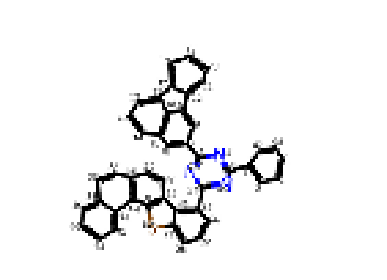 c1ccc(-c2nc(-c3cc4c5c(cccc5c3)-c3ccccc3-4)nc(-c3cccc4sc5c(ccc6ccc7ccccc7c65)c34)n2)cc1